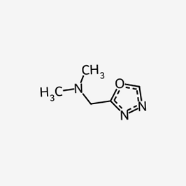 CN(C)Cc1nnco1